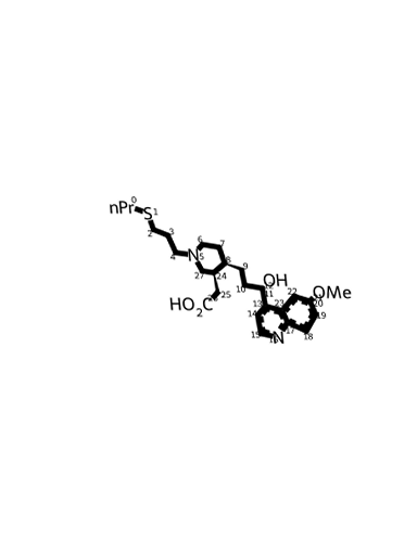 CCCSCCCN1CC[C@@H](CC[C@H](O)c2ccnc3ccc(OC)cc23)[C@@H](CC(=O)O)C1